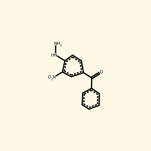 NNc1ccc(C(=O)c2ccccc2)cc1[N+](=O)[O-]